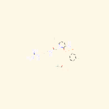 Cc1ccc(NS(=O)(=O)c2cccc(Cl)c2Cl)c(=O)n1CC(=O)NCCONC(=N)N.O=C(O)C(F)(F)F